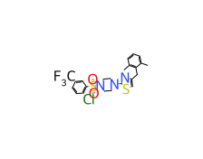 Cc1cccc(C)c1Cc1csc(N2CCN(S(=O)(=O)c3cc(C(F)(F)F)ccc3Cl)CC2)n1